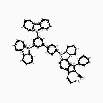 C#Cc1c(/C=C\C)c2ccc3c(c2n1-c1ccccc1)C1C=CC=CC1N3c1ccc(-c2cc(-n3c4ccccc4c4ccccc43)cc(-n3c4ccccc4c4ccccc43)c2)cc1